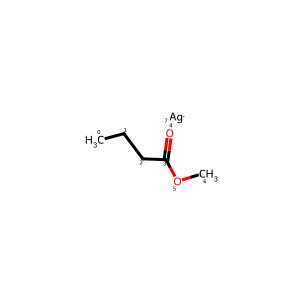 CCCC(=O)OC.[Ag]